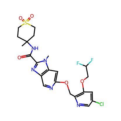 Cn1c(C(=O)NC2(C)CCS(=O)(=O)CC2)nc2cnc(OCc3ncc(Cl)cc3OCC(F)F)cc21